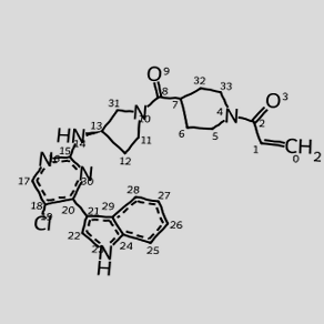 C=CC(=O)N1CCC(C(=O)N2CC[C@@H](Nc3ncc(Cl)c(-c4c[nH]c5ccccc45)n3)C2)CC1